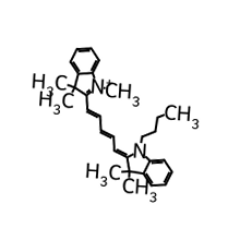 CCCCN1\C(=C/C=C/C=C/C2=[N+](C)c3ccccc3C2(C)C)C(C)(C)c2ccccc21